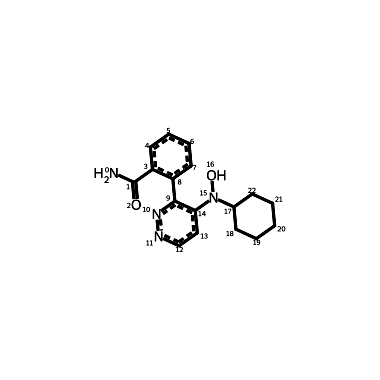 NC(=O)c1ccccc1-c1nnccc1N(O)C1CCCCC1